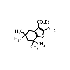 CCOC(=O)c1c(N)sc2c1CC(C)(C)CC2(C)C